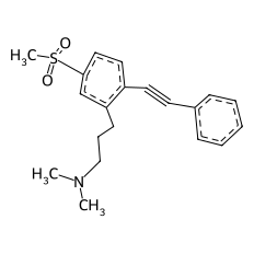 CN(C)CCCc1cc(S(C)(=O)=O)ccc1C#Cc1ccccc1